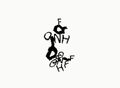 Cc1cc(NC(=O)c2cccc(S(=O)(=O)NCC(F)F)c2)ccc1F